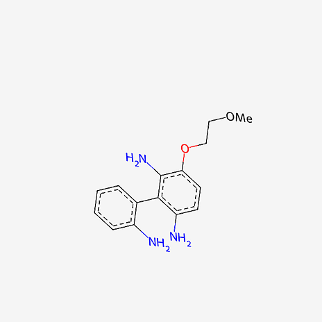 COCCOc1ccc(N)c(-c2ccccc2N)c1N